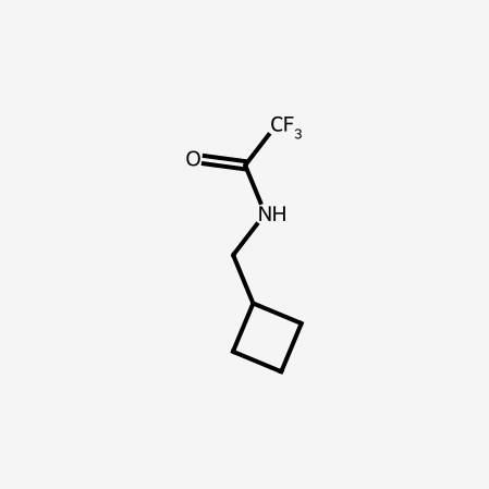 O=C(NCC1CCC1)C(F)(F)F